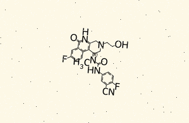 CN(C(=O)Nc1ccc(F)c(C#N)c1)[C@H]1CN(CCO)Cc2[nH]c(=O)c3cc(F)ccc3c21